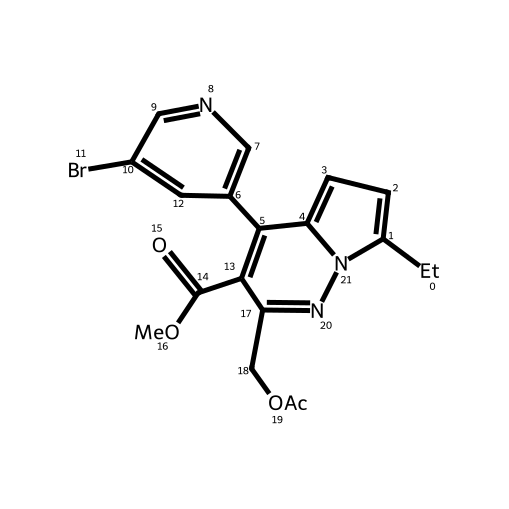 CCc1ccc2c(-c3cncc(Br)c3)c(C(=O)OC)c(COC(C)=O)nn12